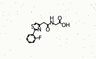 O=C(O)CNC(=O)Cc1csc(-c2ccccc2F)n1